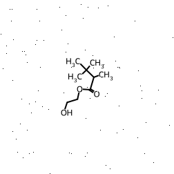 CC(C(=O)OCCO)C(C)(C)C